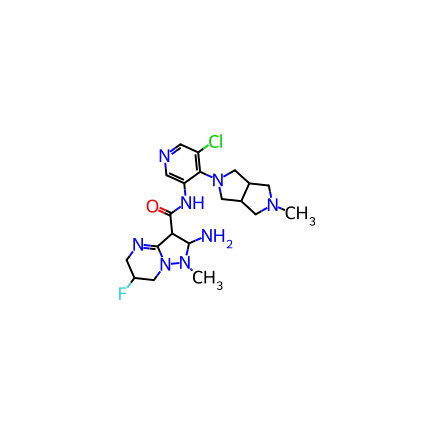 CN1CC2CN(c3c(Cl)cncc3NC(=O)C3C4=NCC(F)CN4N(C)C3N)CC2C1